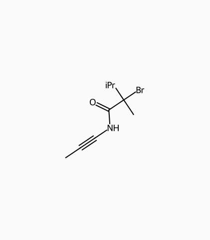 CC#CNC(=O)C(C)(Br)C(C)C